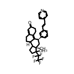 C[C@]12C[C@H](c3cccc(/C=C/c4ccncc4)c3)C3=C4CCC(=O)C=C4CC[C@H]3C1CCC2(O)C(F)(F)C(F)(F)F